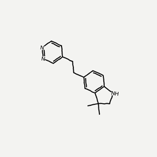 CC1(C)CNc2ccc(CCc3ccnnc3)cc21